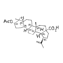 C=C(C)[C@@H]1CCC2(C(=O)O)CC[C@]3(C)[C@H](CC[C@@H]4[C@@]5(C)CC[C@H](OC(C)=O)C(C)(C)[C@@H]5CC[C@]43C)[C@@H]12